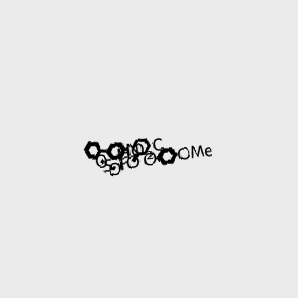 COc1ccc(OC2CCCN(c3ccc(-c4ccccc4)c(S(C)(=O)=O)c3F)C2=O)c(C(=O)O)c1